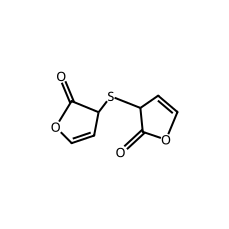 O=C1OC=CC1SC1C=COC1=O